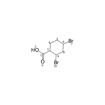 O=C(O)C1CCC(Br)CC1Br